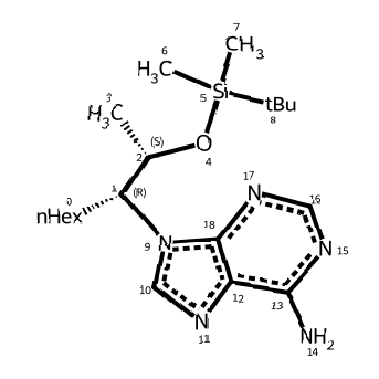 CCCCCC[C@H]([C@H](C)O[Si](C)(C)C(C)(C)C)n1cnc2c(N)ncnc21